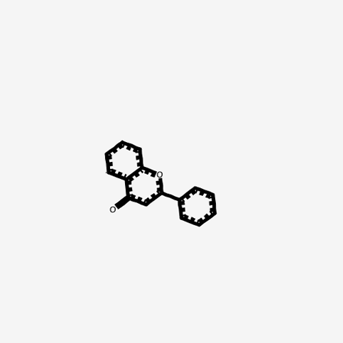 O=c1cc(-c2ccccc2)oc2c[c]c[c]c12